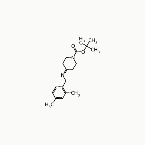 Cc1ccc(CN=C2CCN(C(=O)OC(C)(C)C)CC2)c(C)c1